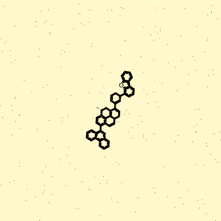 C[C@@H]1CC2=C3c4c1ccc(-c1cc5ccccc5c5ccccc15)c4C=CC3CC=C2C1=CC(c2cccc3c2oc2ccccc23)CC=C1